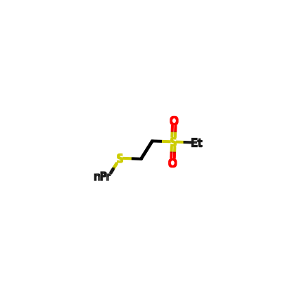 CCCSCCS(=O)(=O)CC